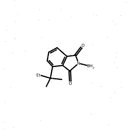 BN1C(=O)c2cccc(C(C)(C)CC)c2C1=O